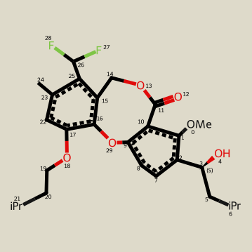 COc1c([C@@H](O)CC(C)C)ccc2c1C(=O)OCc1c(c(OCCC(C)C)cc(C)c1C(F)F)O2